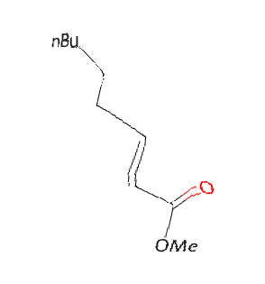 [CH2]CCCCC/C=C/C(=O)OC